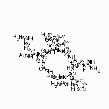 CC(=O)N[C@@H](CCCNC(=N)N)C(=O)N[C@H]1CCC(=O)NCCC[C@@H](C(N)=O)NC(=O)[C@H](Cc2c[nH]c3ccccc23)NC(=O)[C@H](CCCNC(=N)N)NC(=O)[C@@H](Cc2ccccc2)NC(=O)[C@H](CCS(C)(=O)=O)NC1=O